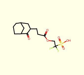 O=C(CCC1CC2CCCC(C2)C1=O)OCC(F)(F)S(=O)(=O)O